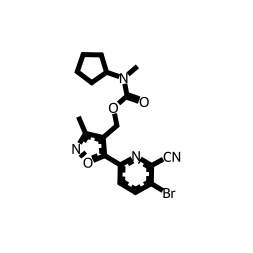 Cc1noc(-c2ccc(Br)c(C#N)n2)c1COC(=O)N(C)C1CCCC1